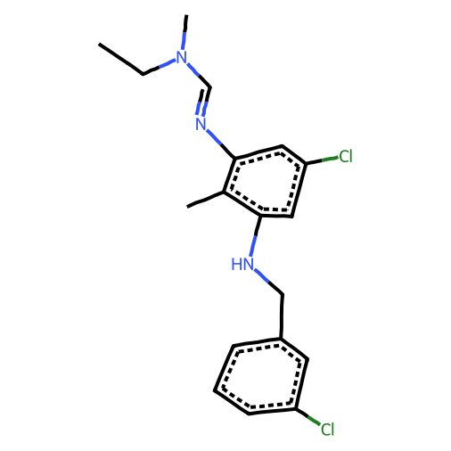 CCN(C)C=Nc1cc(Cl)cc(NCc2cccc(Cl)c2)c1C